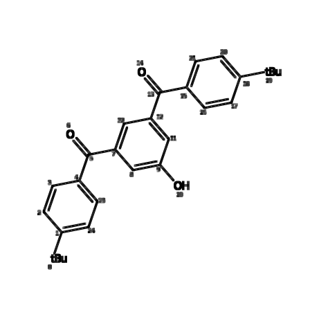 CC(C)(C)c1ccc(C(=O)c2cc(O)cc(C(=O)c3ccc(C(C)(C)C)cc3)c2)cc1